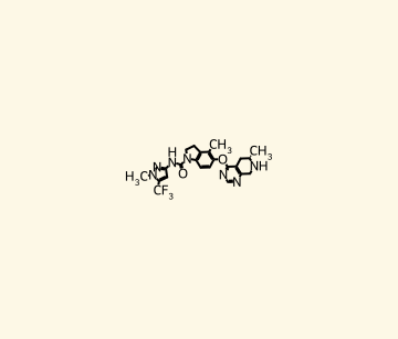 Cc1c(Oc2ncnc3c2C[C@H](C)NC3)ccc2c1CCN2C(=O)Nc1cc(C(F)(F)F)n(C)n1